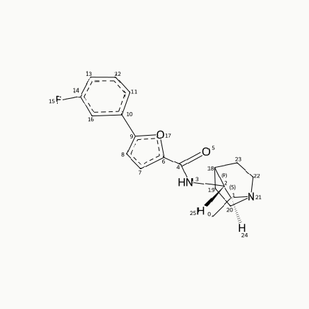 C[C@H]1[C@H](NC(=O)c2ccc(-c3cccc(F)c3)o2)C2CCN1CC2